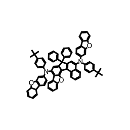 CC(C)(C)c1ccc(N(c2ccc3c(c2)oc2ccccc23)c2cc3c(c4ccccc24)-c2c(cc(N(c4ccc(C(C)(C)C)cc4)c4ccc5c(c4)OC4C=CC=CC54)c4c2oc2ccccc24)C3(c2ccccc2)c2ccccc2)cc1